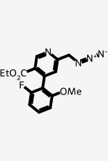 CCOC(=O)c1cnc(CN=[N+]=[N-])cc1-c1c(F)cccc1OC